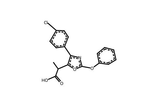 CC(C(=O)O)c1oc(Oc2ccccc2)nc1-c1ccc(Cl)cc1